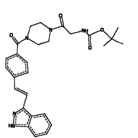 CC(C)(C)OC(=O)NCC(=O)N1CCN(C(=O)c2ccc(/C=C/c3n[nH]c4ccccc34)cc2)CC1